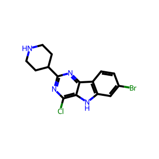 Clc1nc(C2CCNCC2)nc2c1[nH]c1cc(Br)ccc12